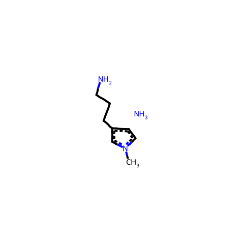 Cn1ccc(CCCN)c1.N